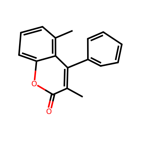 Cc1c(-c2ccccc2)c2c(C)cccc2oc1=O